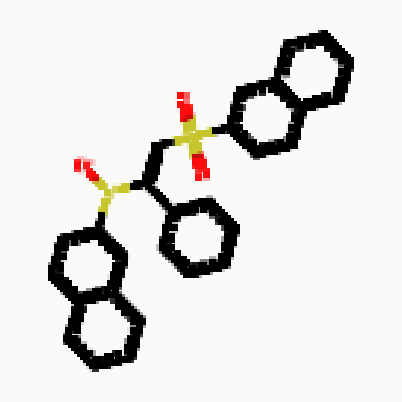 O=S(=O)(/C=C(\c1ccccc1)[S+]([O-])c1ccc2ccccc2c1)c1ccc2ccccc2c1